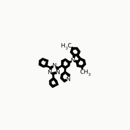 Cc1ccc2c3ccc(C)cc3n(-c3ccc(-c4nc(-c5ccccc5)nc(-c5ccccc5)n4)c(-c4cccnc4)c3)c2c1